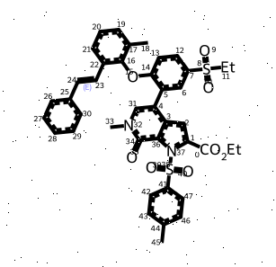 CCOC(=O)c1cc2c(-c3cc(S(=O)(=O)CC)ccc3Oc3c(C)cccc3/C=C/c3ccccc3)cn(C)c(=O)c2n1S(=O)(=O)c1ccc(C)cc1